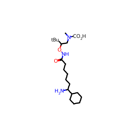 CN(CC(ONC(=O)CCCCCC(N)C1CCCCC1)C(C)(C)C)C(=O)O